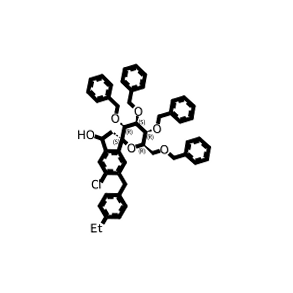 CCc1ccc(Cc2cc3c(cc2Cl)C(O)C[C@]32O[C@H](COCc3ccccc3)[C@@H](OCc3ccccc3)[C@H](OCc3ccccc3)[C@H]2OCc2ccccc2)cc1